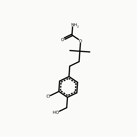 CC(C)(CCc1ccc(CO)c(Cl)c1)OC(N)=O